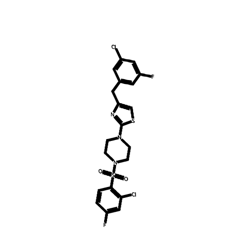 O=S(=O)(c1ccc(F)cc1Cl)N1CCN(c2nc(Cc3cc(F)cc(Cl)c3)cs2)CC1